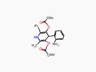 COC(=O)OC1=C(C)NC(C(C)C)=C(OC(=O)OC)C1c1ccccc1[N+](=O)[O-]